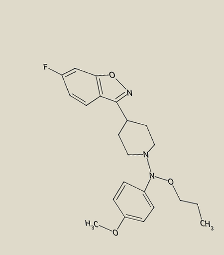 CCCON(c1ccc(OC)cc1)N1CCC(c2noc3cc(F)ccc23)CC1